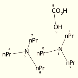 CCCN(CCC)CCC.CCCN(CCC)CCC.O=C(O)O